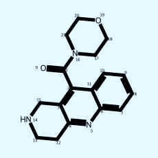 O=C(c1c2c(nc3ccccc13)CCNC2)N1CCOCC1